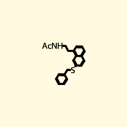 CC(=O)NCCc1cccc2ccc(SCc3ccccc3)cc12